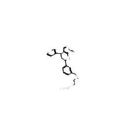 CNCCN(C)Cc1cccc(C2CC(c3ccsc3)c3cnn(C(C)C)c3N2)c1